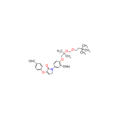 COc1cc(N2CC=C(Oc3ccc(C=O)cc3)C2=O)ccc1OCC(C)(C)OCOCC[Si](C)(C)C